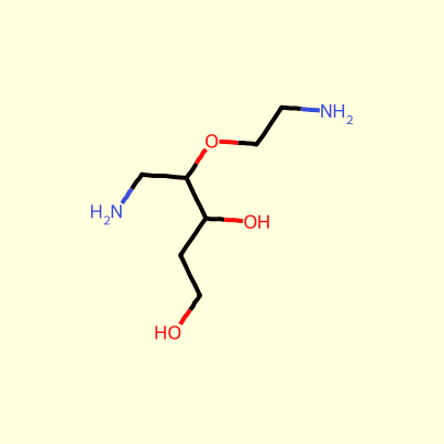 NCCOC(CN)C(O)CCO